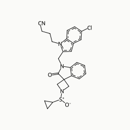 N#CCCCn1c(CN2C(=O)C3(CN([S+]([O-])C4CC4)C3)c3ccccc32)cc2cc(Cl)ccc21